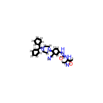 Cc1noc(C)c1NC(=O)Nc1ccc(N2CCN(C(c3ccccc3)c3ccccc3)CC2)c(C#N)c1